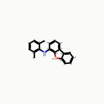 Cc1cccc(C)c1Nc1cccc2c1oc1ccccc12